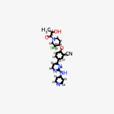 C[C@H](O)C(=O)N1CCC(Oc2ccc(-c3ccnc(Nc4ccncc4)n3)cc2C#N)C(F)(F)C1